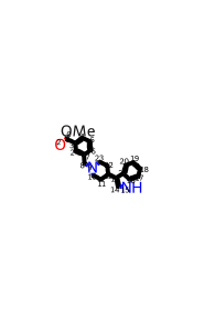 COC(=O)c1cccc(CN2CCC(c3c[nH]c4ccccc34)CC2)c1